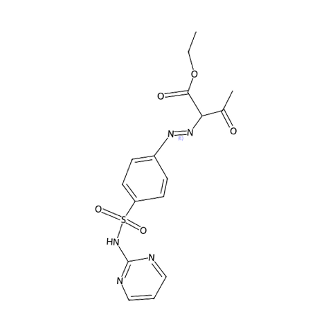 CCOC(=O)C(/N=N/c1ccc(S(=O)(=O)Nc2ncccn2)cc1)C(C)=O